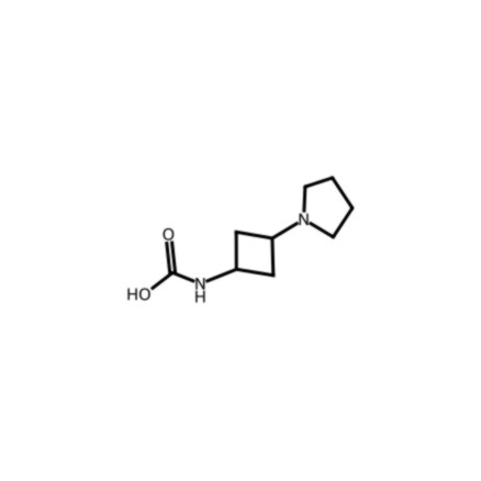 O=C(O)NC1CC(N2CCCC2)C1